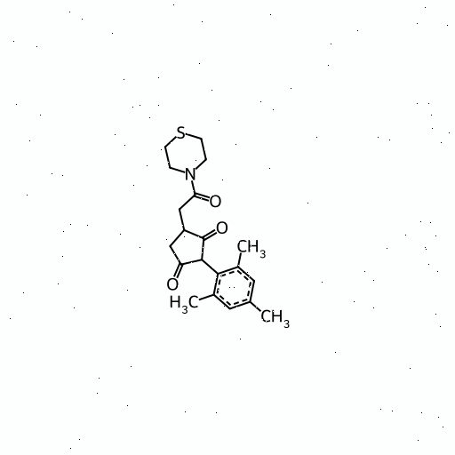 Cc1cc(C)c(C2C(=O)CC(CC(=O)N3CCSCC3)C2=O)c(C)c1